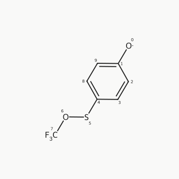 [O]c1ccc(SOC(F)(F)F)cc1